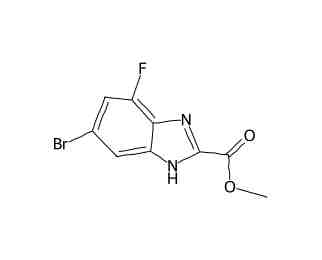 COC(=O)c1nc2c(F)cc(Br)cc2[nH]1